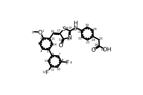 COc1ccc(-c2cc(F)cc(F)c2)cc1/C=C1/SC(Nc2ccc(CC(=O)O)cc2)=NC1=O